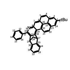 CC(C)(C)c1cc2ccc3cc4nc(-c5ccccc5)c5c(c4c4ccc(c1)c2c34)C1CC5c2ccccc21